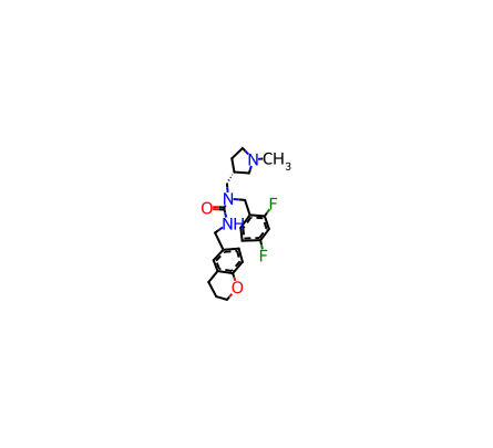 CN1CC[C@@H](CN(Cc2ccc(F)cc2F)C(=O)NCc2ccc3c(c2)CCCO3)C1